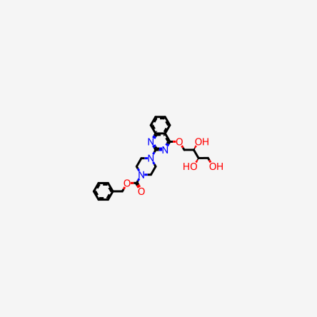 O=C(OCc1ccccc1)N1CCN(c2nc(OC[C@@H](O)[C@H](O)CO)c3ccccc3n2)CC1